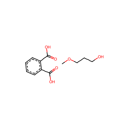 COCCCO.O=C(O)c1ccccc1C(=O)O